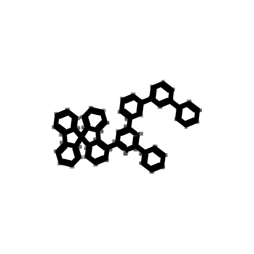 c1ccc(-c2cccc(-c3cccc(-c4cc(-c5cccc6c5-c5ccccc5C65c6ccccc6-c6ccccc65)nc(-c5ccccc5)n4)c3)c2)cc1